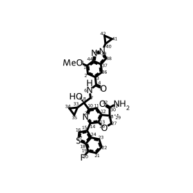 COc1cc(C(=O)NC[C@](O)(c2cc3c(c(-c4csc5c(F)cccc45)n2)OC[C@]3(C)C(N)=O)C2CC2)cc2cn(C3CC3)nc12